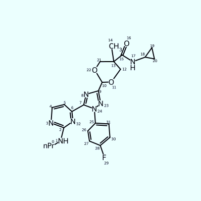 CCCNc1nccc(-c2nc(C3OCC(C)(C(=O)NC4CC4)CO3)nn2-c2ccc(F)cc2)n1